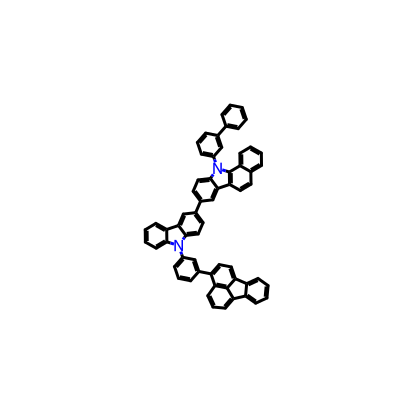 c1ccc(-c2cccc(-n3c4ccc(-c5ccc6c(c5)c5ccccc5n6-c5cccc(-c6ccc7c8c(cccc68)-c6ccccc6-7)c5)cc4c4ccc5ccccc5c43)c2)cc1